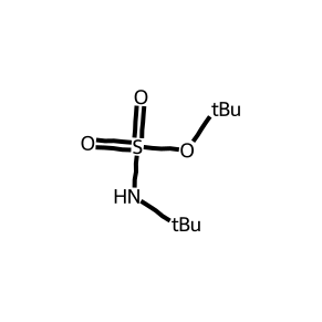 CC(C)(C)NS(=O)(=O)OC(C)(C)C